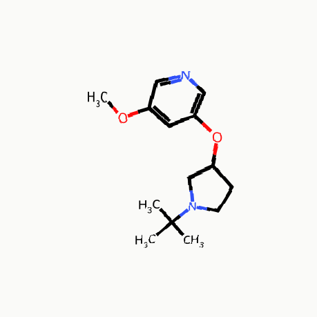 COc1cncc(OC2CCN(C(C)(C)C)C2)c1